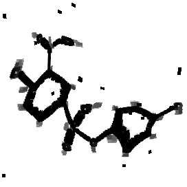 O=[N+]([O-])c1cc(S(=O)(=O)Oc2ccc(Cl)cc2)ccc1Cl